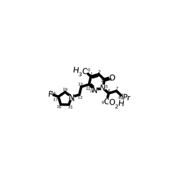 Cc1cc(=O)n(C(CC(C)C)C(=O)O)nc1CCN1CCC(F)C1